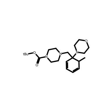 CC1C=CC=CC1(CN1CCN(C(=O)OC(C)(C)C)CC1)N1CCOCC1